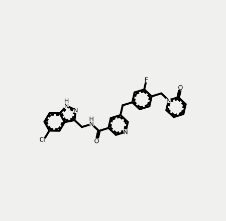 O=C(NCc1n[nH]c2ccc(Cl)cc12)c1cncc(Cc2ccc(Cn3ccccc3=O)c(F)c2)c1